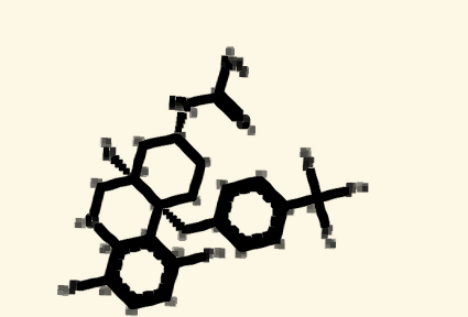 NC(=O)N[C@@H]1CC[C@@]2(Cc3ccc(C(F)(F)F)cc3)c3c(F)ccc(F)c3OC[C@H]2C1